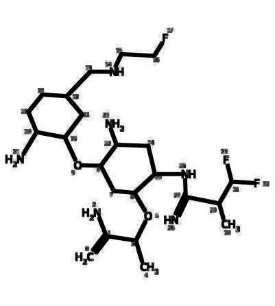 C=C(N)C(C)OC1CC(OC2CC(CNCCF)CCC2N)C(N)CC1NC(=N)C(C)C(F)F